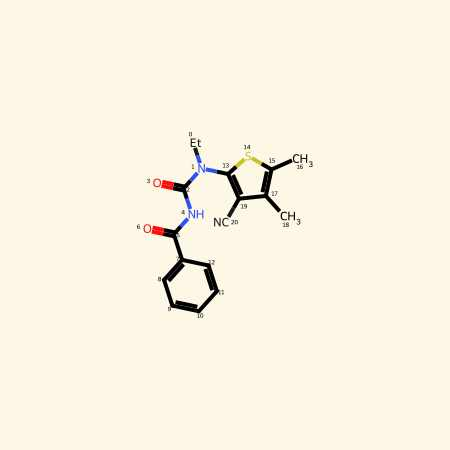 CCN(C(=O)NC(=O)c1ccccc1)c1sc(C)c(C)c1C#N